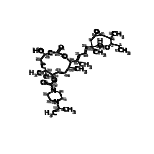 CCC(O)C(C)C1OC1CC(C)(O)/C=C/C=C(\C)C1OC(=O)CC(O)CCC(C)(C)C(OC(=O)N2CCN(C(C)C)CC2)/C=C/C1C